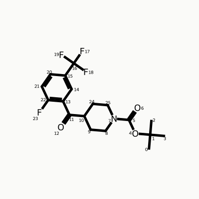 CC(C)(C)OC(=O)N1CCC(C(=O)c2cc(C(F)(F)F)ccc2F)CC1